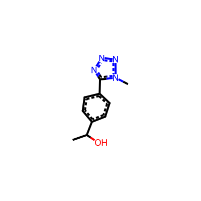 CC(O)c1ccc(-c2nnnn2C)cc1